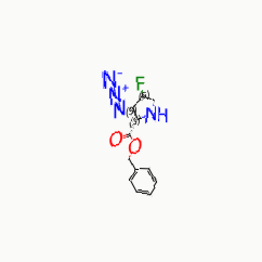 [N-]=[N+]=N[C@H]1[C@@H](C(=O)OCc2ccccc2)NC[C@@H]1F